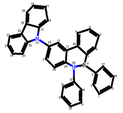 c1ccc(B2c3ccccc3-c3cc(-n4c5ccccc5c5ccccc54)ccc3N2c2ccccc2)cc1